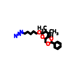 CC1[C@H](OCCCCCN=[N+]=[N-])OC2COC(c3ccccc3)O[C@H]2[C@@H]1C